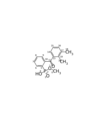 COP(=O)(O)c1ccccc1C(=O)c1cccc(C)c1C